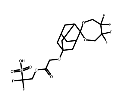 O=C(COC12CC3CC(C1)C1(OCC(F)(F)C(F)(F)CO1)C(C3)C2)OCC(F)(F)S(=O)(=O)O